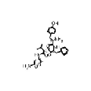 CC(C)[C@H](NC(=O)[C@H](Cc1ccccc1)NC(=O)[C@H](N)Cc1ccc(O)cc1)C(=O)N[C@H]([C]=O)CC(N)=O